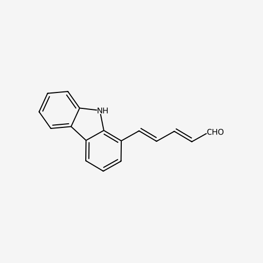 O=CC=CC=Cc1cccc2c1[nH]c1ccccc12